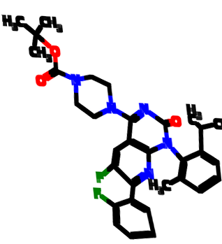 Cc1cccc(C(C)C)c1-n1c(=O)nc(N2CCN(C(=O)OC(C)(C)C)CC2)c2cc(F)c(-c3ccccc3F)nc21